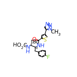 Cn1nncc1-c1csc(C(=O)N[C@@H](Cc2ccc(F)cc2)C(NC(=O)O)C(C)(C)C)c1